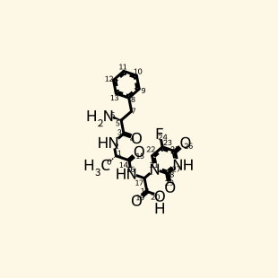 C[C@H](NC(=O)[C@@H](N)Cc1ccccc1)C(=O)NC(C(=O)O)n1cc(F)c(=O)[nH]c1=O